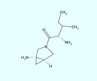 CCC(C)[C@H](N)C(=O)N1C[C@H]2C[C@@]2(N)C1